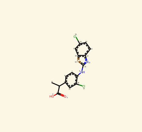 CC(C(=O)O)c1ccc(Nc2nc3ccc(Cl)cc3s2)c(Cl)c1